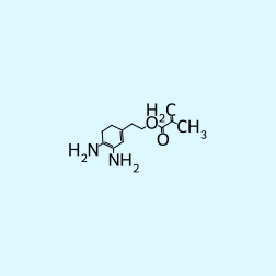 C=C(C)C(=O)OCCC1=CC(N)=C(N)CC1